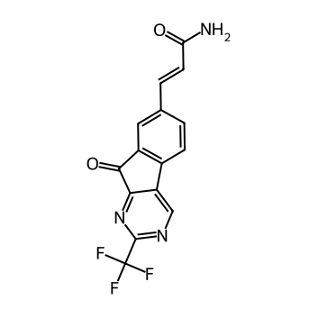 NC(=O)/C=C/c1ccc2c(c1)C(=O)c1nc(C(F)(F)F)ncc1-2